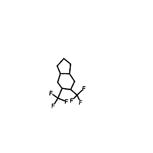 FC(F)(F)C1CC2CCCC2CC1C(F)(F)F